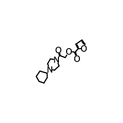 O=C(OCC(=O)N1CCN(C2CCCCC2)CC1)c1ccco1